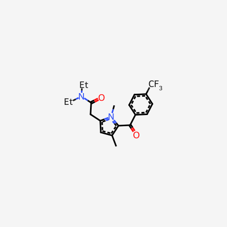 CCN(CC)C(=O)Cc1cc(C)c(C(=O)c2ccc(C(F)(F)F)cc2)n1C